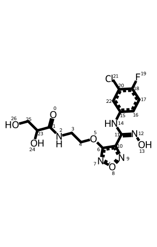 O=C(NCCOc1nonc1/C(=N\O)Nc1ccc(F)c(Cl)c1)C(O)CO